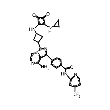 Nc1nccn2c(C3CC(Nc4c(NC5CC5)c(=O)c4=O)C3)nc(-c3ccc(C(=O)Nc4cc(C(F)(F)F)ccn4)cc3)c12